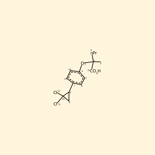 CCCC(C)(Oc1ccc(C2CC2(Cl)Cl)cc1)C(=O)O